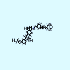 COc1ccc2c(c1)C1(CC1c1ccc3c(/C=C/c4ccc(CNC5CCOCC5)cc4)n[nH]c3c1)C(=O)N2